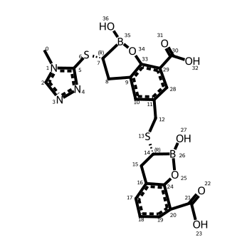 Cn1cnnc1S[C@H]1Cc2cc(CS[C@H]3Cc4cccc(C(=O)O)c4OB3O)cc(C(=O)O)c2OB1O